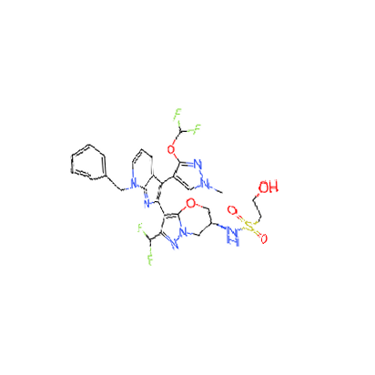 Cn1cc(-c2c3cccn(Cc4ccccc4)c-3nc2-c2c(C(F)F)nn3c2OC[C@@H](NS(=O)(=O)CCO)C3)c(OC(F)F)n1